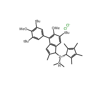 COc1c(C(C)(C)C)cc(-c2c3c(cc(C(C)(C)C)c2OC)[CH]([Zr+2]([CH]2C(C)=C(C)C(C)=C2C)[SiH](C)C)C(C)=C3)cc1C(C)(C)C.[Cl-].[Cl-]